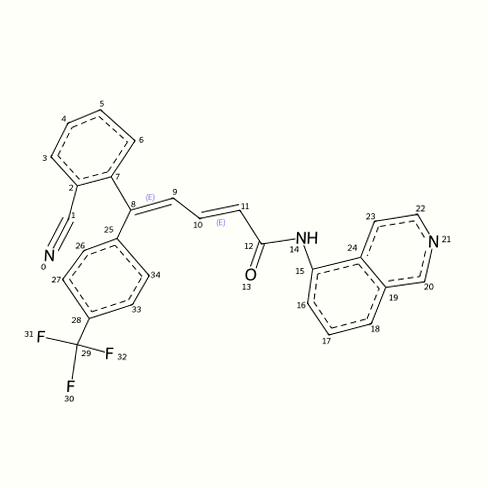 N#Cc1ccccc1/C(=C/C=C/C(=O)Nc1cccc2cnccc12)c1ccc(C(F)(F)F)cc1